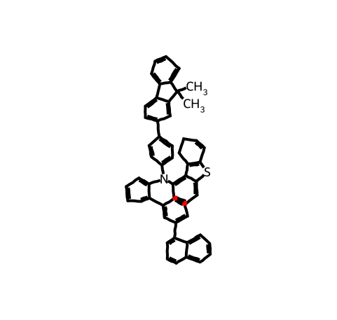 CC1(C)c2ccccc2-c2ccc(-c3ccc(N(c4ccccc4-c4cccc(-c5cccc6ccccc56)c4)c4cccc5sc6c(c45)CCC=C6)cc3)cc21